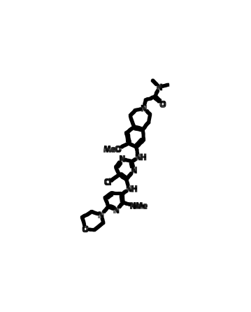 CNc1nc(N2CCOCC2)ccc1Nc1nc(Nc2cc3c(cc2OC)CCN(CC(=O)N(C)C)CC3)ncc1Cl